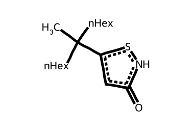 CCCCCCC(C)(CCCCCC)c1cc(=O)[nH]s1